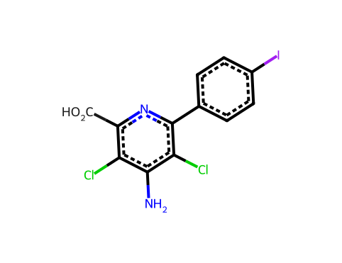 Nc1c(Cl)c(C(=O)O)nc(-c2ccc(I)cc2)c1Cl